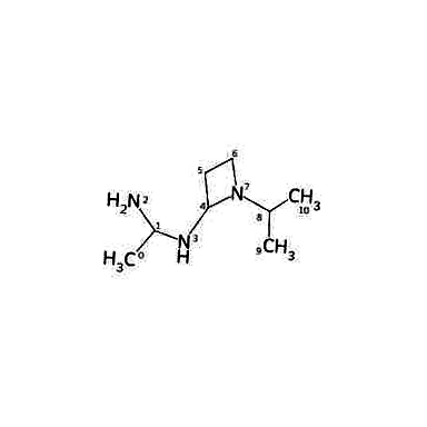 CC(N)NC1CCN1C(C)C